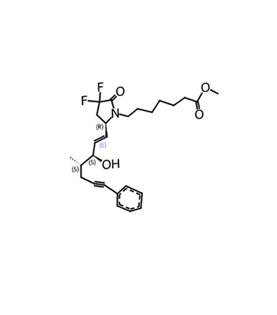 COC(=O)CCCCCCN1C(=O)C(F)(F)C[C@@H]1/C=C/[C@@H](O)[C@@H](C)CC#Cc1ccccc1